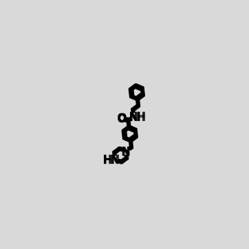 O=C(NCCc1ccccc1)c1ccc(CN2CCNCC2)cc1